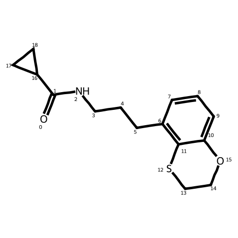 O=C(NCCCc1cccc2c1SCCO2)C1CC1